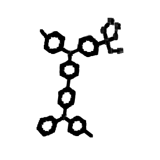 CCO[Si](OCC)(OCC)c1ccc(N(c2ccc(C)cc2)c2ccc(-c3ccc(N(c4ccccc4)c4ccc(C)cc4)cc3)cc2)cc1